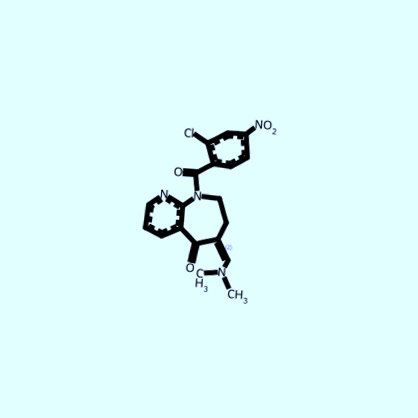 CN(C)/C=C1/CCN(C(=O)c2ccc([N+](=O)[O-])cc2Cl)c2ncccc2C1=O